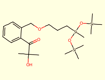 CC(C)(O)C(=O)c1ccccc1COCCC[Si](C)(O[Si](C)(C)C)O[Si](C)(C)C